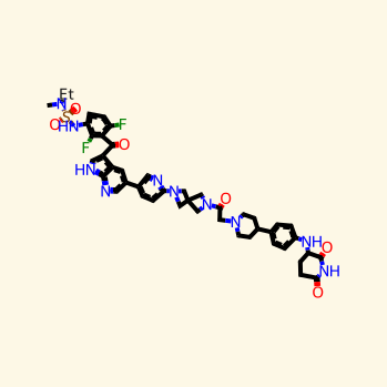 CCN(C)S(=O)(=O)Nc1ccc(F)c(C(=O)c2c[nH]c3ncc(-c4ccc(N5CC6(CN(C(=O)CN7CCC(c8ccc(NC9CCC(=O)NC9=O)cc8)CC7)C6)C5)nc4)cc23)c1F